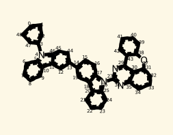 c1ccc(-n2c3ccccc3c3cc(-c4ccc5c(c4)c4ccccc4n5-c4nc5c6c(cccc6n4)Oc4ccccc4-5)ccc32)cc1